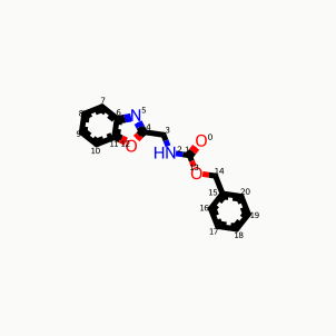 O=C(NCc1nc2ccccc2o1)OCc1ccccc1